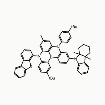 Cc1cc2c3c(c1)N(c1cccc4c1sc1ccccc14)c1ccc(C(C)(C)C)cc1B3c1ccc(N3c4ccccc4C4(C)CCCCC34C)cc1N2c1ccc(C(C)(C)C)cc1